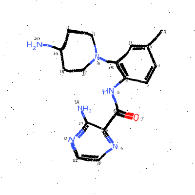 Cc1ccc(NC(=O)c2nccnc2N)c(N2CCC(N)CC2)c1